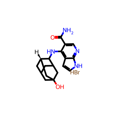 Br.NC(=O)c1cnc2[nH]ccc2c1NC1C2CC3C[C@H]1CC(O)(C3)C2